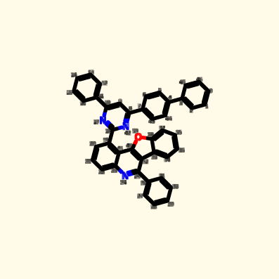 c1ccc(-c2ccc(-c3cc(-c4ccccc4)nc(-c4cccc5nc(-c6ccccc6)c6c7ccccc7oc6c45)n3)cc2)cc1